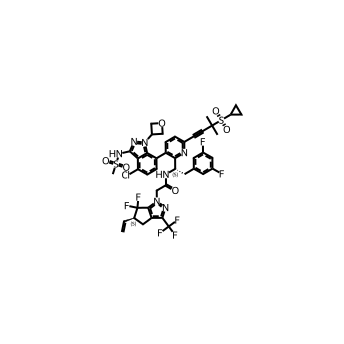 C=C[C@@H]1Cc2c(C(F)(F)F)nn(CC(=O)N[C@@H](Cc3cc(F)cc(F)c3)c3nc(C#CC(C)(C)S(=O)(=O)C4CC4)ccc3-c3ccc(Cl)c4c(NS(C)(=O)=O)nn(C5COC5)c34)c2C1(F)F